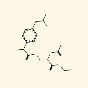 CCOC(=O)[C@H](CSC(=O)C(C)c1ccc(CC(C)C)cc1)NC(C)=O